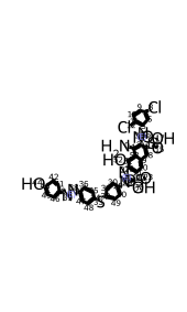 Nc1c(/N=N/c2cc(Cl)ccc2Cl)c(S(=O)(=O)O)cc2cc(S(=O)(=O)O)c(/N=N/c3ccc(Sc4ccc(/N=N/c5ccc(O)cc5)cc4)cc3)c(O)c12